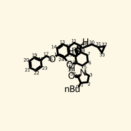 CCCCC1CCN([C@H]2CC[C@@]3(O)[C@H]4Cc5ccc(OCc6ccccc6)c6c5[C@@]3(CCN4CC3CC3)[C@H]2O6)C1=O